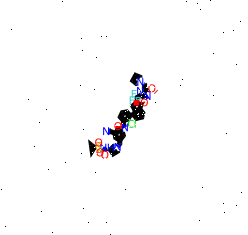 COc1nc(O[C@@H]2CCc3c(-c4cccc(-c5nc6cc(CN7CC[C@@H](C(=O)NS(=O)(=O)C8CC8)C7)cc(C#N)c6o5)c4Cl)cccc32)c(C(F)(F)F)nc1CN1CCCC1